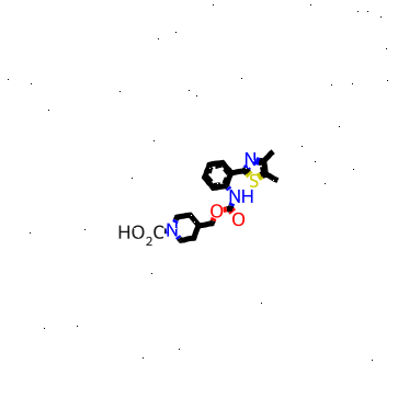 Cc1nc(-c2ccccc2NC(=O)OCC2CCN(C(=O)O)CC2)sc1C